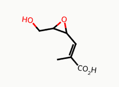 CC(=CC1OC1CO)C(=O)O